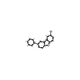 Brc1ccc2sc3ccc(-c4ccccc4)cc3c2c1